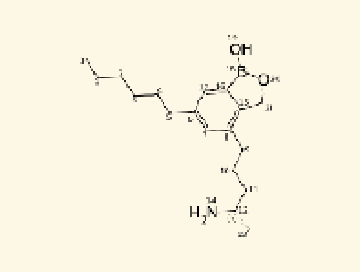 CCCCCCc1cc(CCC[C@H](C)N)c2c(c1)B(O)OC2